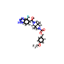 O=C(OCc1ccc(OC(F)(F)F)cc1)N1C[C@@H]2CN(C(=O)c3ccc4[nH]nnc4c3F)C[C@H]2C1